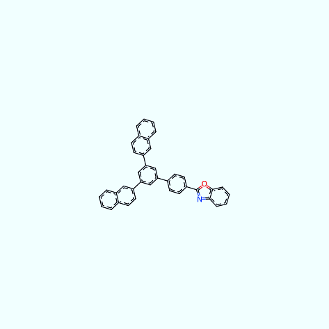 c1ccc2cc(-c3cc(-c4ccc(-c5nc6ccccc6o5)cc4)cc(-c4ccc5ccccc5c4)c3)ccc2c1